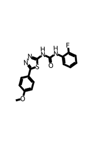 COc1ccc(-c2nnc(NC(=O)Nc3ccccc3F)s2)cc1